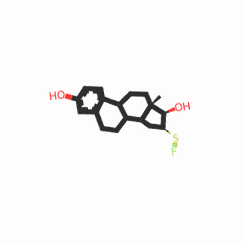 C[C@]12CCC3c4ccc(O)cc4CCC3C1C[C@@H](SF)[C@@H]2O